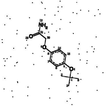 CC(C)(C)Oc1ccc(OCC(N)=O)cc1